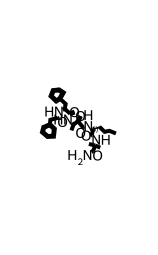 CCCC[C@H](NC(=O)C(=O)C(C)NC(=O)C(Cc1ccccc1)NC(=O)Cc1ccccc1)C(=O)NC(C)(C)C(N)=O